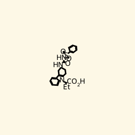 CCC(C(=O)O)n1c2c(c3ccccc31)CC(NC(=O)NS(=O)(=O)c1ccccc1)CC2